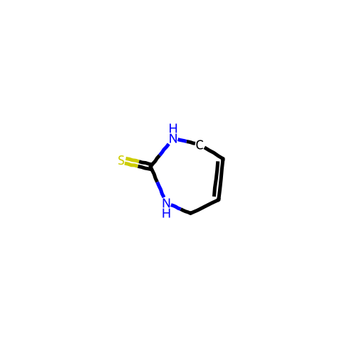 S=C1NCC=CCN1